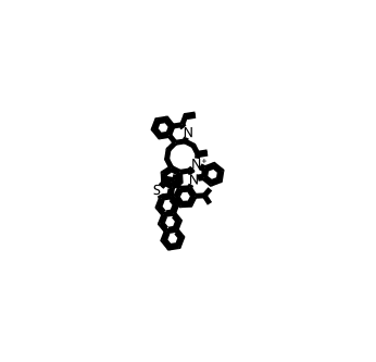 C=CC1=NC2CC(=C)[n+]3c(n(-c4c(C(C)C)cccc4C(C)C)c4ccccc43)-c3cc4c(cc3CCC2c2ccccc21)sc1cc2cc3ccccc3cc2cc14